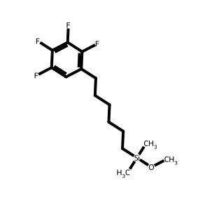 CO[Si](C)(C)CCCCCCc1cc(F)c(F)c(F)c1F